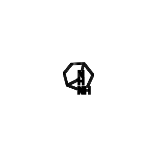 C1CC2CCC(CN2)N1